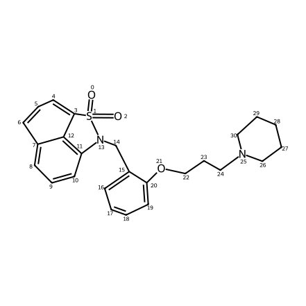 O=S1(=O)c2cccc3cccc(c23)N1Cc1ccccc1OCCCN1CCCCC1